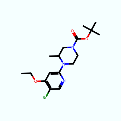 CCOc1cc(N2CCN(C(=O)OC(C)(C)C)CC2C)ncc1Br